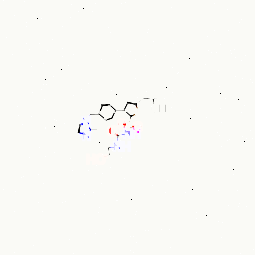 Cc1nccn1Cc1ccc(-c2cc(CC(C)C)sc2S(=O)(=O)NC(=O)NCCO)cc1F